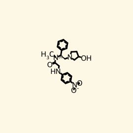 CN(C(=O)CNc1ccc([N+](=O)[O-])cc1)[C@H](CN1CCC(O)C1)c1ccccc1